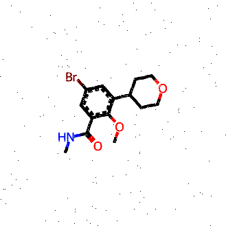 CNC(=O)c1cc(Br)cc(C2CCOCC2)c1OC